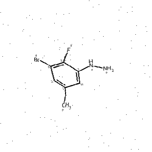 Cc1cc(Br)c(F)c(NN)c1